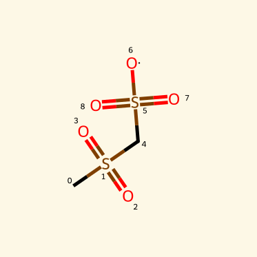 CS(=O)(=O)CS([O])(=O)=O